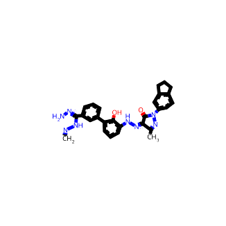 C=NN/C(=N\N)c1cccc(-c2cccc(N/N=C3\C(=O)N(c4ccc5c(c4)CCC5)N=C3C)c2O)c1